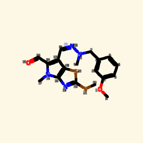 COc1cccc(CN(C)/N=C\c2c(C=O)n(C)c3nc(SC)sc23)c1